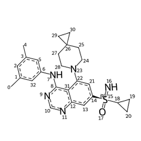 Cc1cc(C)cc(Nc2ncnc3cc([S@](=N)(=O)C4CC4)cc(N4CCC5(CC4)CC5)c23)c1